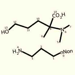 CCCCCCCCCCCCN.CN(C)C(C)(CCCO)C(=O)O